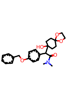 CN(C)C(=O)C(c1ccc(OCc2ccccc2)cc1)C1(O)CCC2(CC1)OCCO2